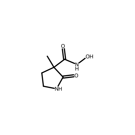 CC1(C(=O)NO)CCNC1=O